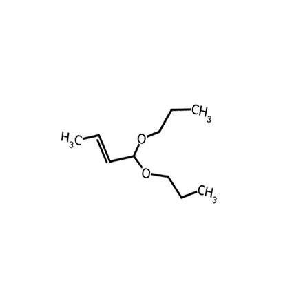 CC=CC(OCCC)OCCC